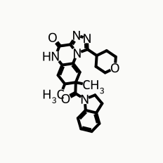 CC1C=c2[nH]c(=O)c3nnc(C4CCOCC4)n3c2=CC1(C)C(=O)N1CCc2ccccc21